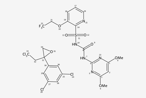 COc1cc(OC)nc(NC(=O)NS(=O)(=O)c2ncccc2OCC(F)(F)F)n1.Clc1cc(Cl)cc(C2(CC(Cl)(Cl)Cl)CO2)c1